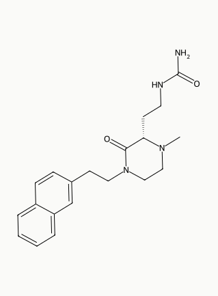 CN1CCN(CCc2ccc3ccccc3c2)C(=O)[C@@H]1CCNC(N)=O